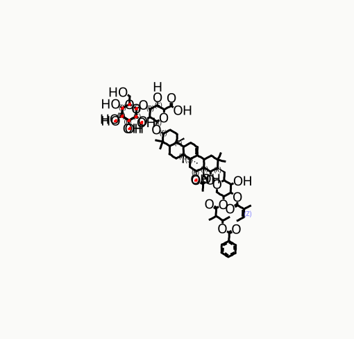 C/C=C(/C)C(=O)OC1C(OC(=O)C(C)C(C)OC(=O)c2ccccc2)COC(C[C@H]2C(OC(C)=O)[C@@]3(CO)C(CC2(C)C)C2=CCC4[C@@]5(C)CC[C@H](O[C@@H]6OC(C(=O)O)[C@@H](O)[C@@H](O[C@@H]7OC[C@@H](O)[C@@H](O)C7O)C6O[C@@H]6OC(CO)[C@H](O)[C@@H](O)C6O)C(C)(C)C5CC[C@@]4(C)[C@]2(C)C[C@H]3O)C1O